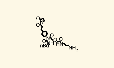 CCCCNC(=O)N(C(=O)COCC(=O)NCCCN)c1ccc(CCC(=O)N2CCC2=O)cc1